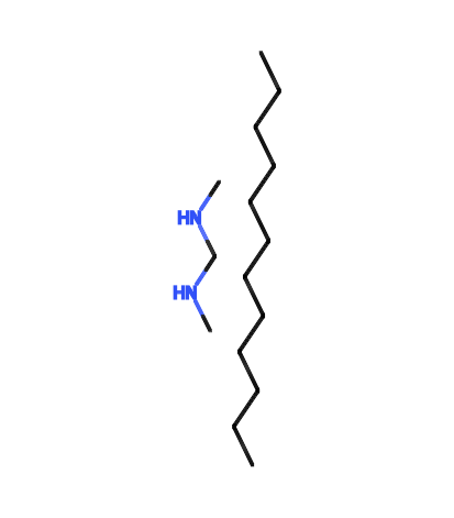 CCCCCCCCCCCC.CNCNC